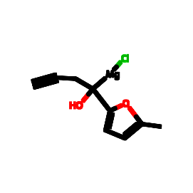 C#CC[C](O)([Mg][Cl])c1ccc(C)o1